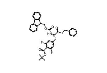 CC(C)(C)OC(=O)c1c(F)cc(C[C@H](NC(=O)OCC2c3ccccc3-c3ccccc32)C(=O)OCc2ccccc2)cc1F